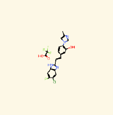 Cc1cn(-c2ccc(/C=C/c3nc4cc(Cl)c(F)cc4[nH]3)cc2O)cn1.O=C(O)C(F)(F)F